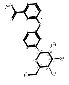 CNC(=O)c1cccc(Oc2cccc([C@H]3O[C@H](CO)[C@@H](O)[C@H](O)[C@H]3O)c2)c1